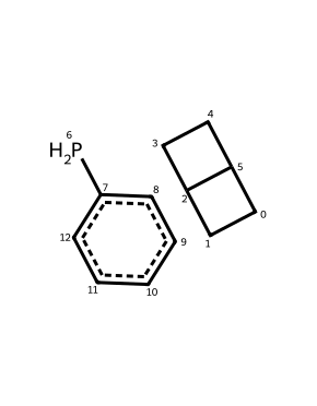 C1CC2CCC12.Pc1ccccc1